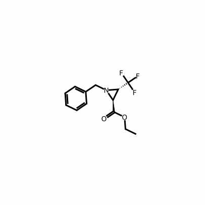 CCOC(=O)[C@@H]1[C@@H](C(F)(F)F)N1Cc1ccccc1